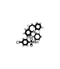 O=S(=O)(N[C@@H]1CCC[C@H](N2c3ccccc3CCc3ccccc32)[C@H]1O)c1ccc(Cl)cc1